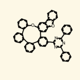 c1ccc(-c2nc(-c3ccccc3)nc(-c3ccc4c(c3)-c3cc5oc6ccccc6c5cc3Oc3ccccc3-c3ccccc3-c3ccccc3-4)n2)cc1